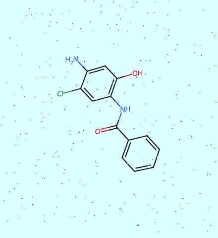 Nc1cc(O)c(NC(=O)c2ccccc2)cc1Cl